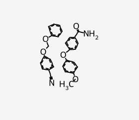 COc1ccc(Oc2ccc(C(N)=O)cc2)cc1.N#Cc1ccc(OCOc2ccccc2)cc1